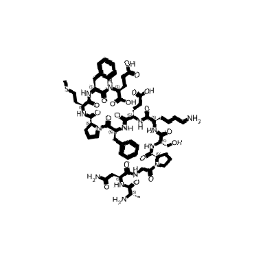 CSCC[C@H](NC(=O)[C@@H]1CCCN1C(=O)[C@H](Cc1ccccc1)NC(=O)[C@H](CCC(=O)O)NC(=O)[C@H](CCCCN)NC(=O)[C@H](CO)NC(=O)[C@@H]1CCCN1C(=O)CNC(=O)[C@H](CC(N)=O)NC(=O)[C@H](C)N)C(=O)N[C@@H](Cc1ccccc1)C(=O)N[C@@H](CCC(=O)O)C(=O)O